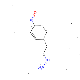 NNCCC1C=CC(N=O)CC1